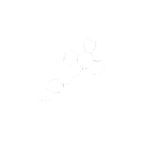 O=C(O)[C@@H]1CCCN(CCCN2c3ccccc3-c3ccccc3-c3ccccc32)C1